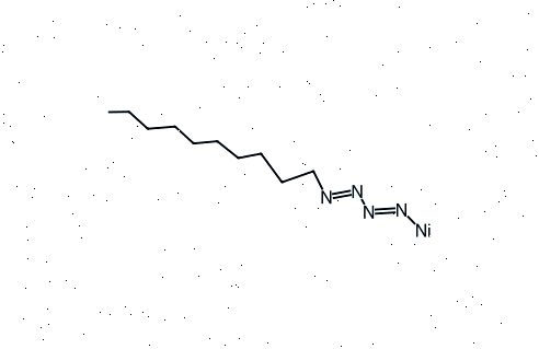 CCCCCCCCCCN=NN=[N][Ni]